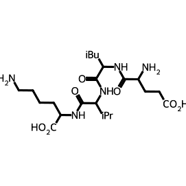 CCC(C)C(NC(=O)C(N)CCC(=O)O)C(=O)NC(C(=O)NC(CCCCN)C(=O)O)C(C)C